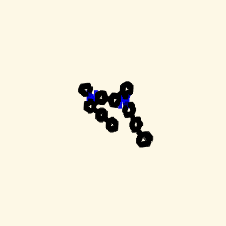 c1ccc(-c2ccc(-c3ccc(-n4c5ccccc5c5cc(-c6ccc7c(c6)c6c(-c8ccc(-c9ccccc9)cc8)cccc6n7-c6ccccc6)ccc54)cc3)cc2)cc1